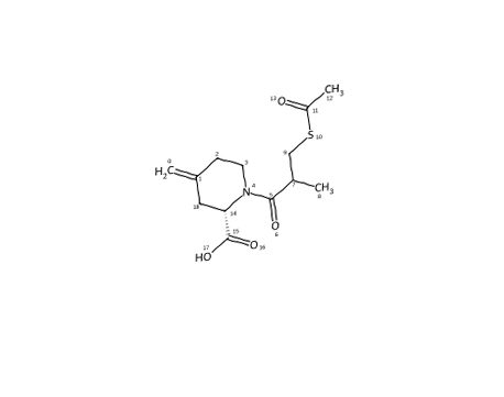 C=C1CCN(C(=O)C(C)CSC(C)=O)[C@H](C(=O)O)C1